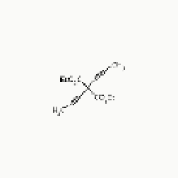 CC#CC(C#CC)(C(=O)OCC)C(=O)OCC